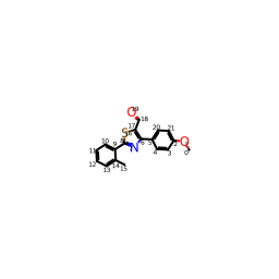 COc1ccc(-c2nc(-c3ccccc3C)sc2C=O)cc1